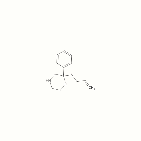 C=CCSC1(c2ccccc2)CNCCO1